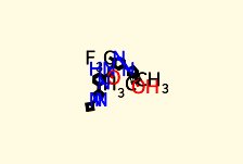 CC(C)(O)[C@@H]1CCN(c2cnc(C(F)(F)F)c(NC(=O)c3cccc(-c4cnn(C5CCC5)c4)n3)c2)C1